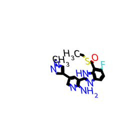 CCSC(=O)c1c(F)ccc2nc(-c3cc(-c4cnn(C)c4)cnc3N)[nH]c12